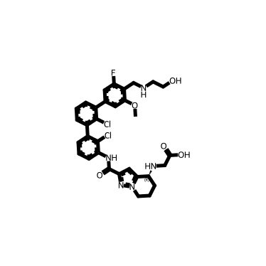 COc1cc(-c2cccc(-c3cccc(NC(=O)c4cc5n(n4)CCC[C@H]5NCC(=O)O)c3Cl)c2Cl)cc(F)c1CNCCO